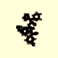 Cc1c(CC(=O)N(c2nccs2)C2CCCCC2)c2cc(CO)ccc2n1C(=O)c1cccc(Cl)c1